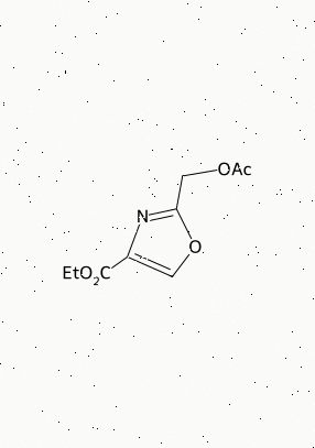 CCOC(=O)c1coc(COC(C)=O)n1